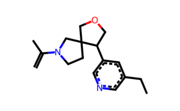 C=C(C)N1CCC2(COCC2c2cncc(CC)c2)C1